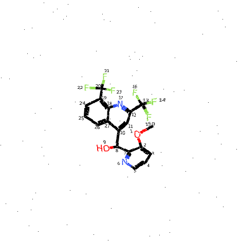 COc1cccnc1C(O)c1cc(C(F)(F)F)nc2c(C(F)(F)F)cccc12